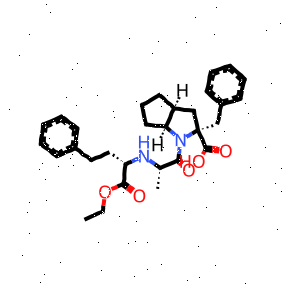 CCOC(=O)[C@H](CCc1ccccc1)N[C@@H](C)C(=O)N1[C@H]2CCC[C@H]2C[C@@]1(Cc1ccccc1)C(=O)O